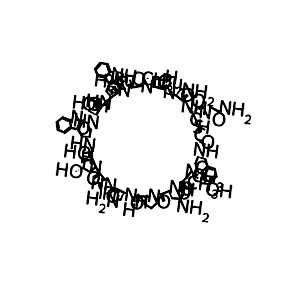 CCCC[C@H]1C(=O)N(C)[C@@H](CCCC)C(=O)N[C@@H](CN)C(=O)N[C@H](C(=O)NCC(N)=O)CSCC(=O)N[C@@H](Cc2ccc(O)cc2)C(=O)N(C)[C@@H](C)C(=O)N[C@@H](CC(N)=O)C(=O)N2CCC[C@H]2C(=O)N[C@@H](CN)C(=O)N[C@@H](CC(C)C)C(=O)N2C[C@H](O)C[C@H]2C(O)N[C@@H](Cc2c[nH]c3ccccc23)C(=O)N[C@@H](CO)C(=O)N[C@@H](Cc2c[nH]c3ccccc23)C(=O)N1C